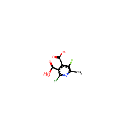 Cc1nc(Cl)c(C(=O)O)c(C(=O)O)c1F